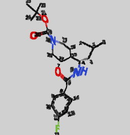 CC(C)C[C@H](NC(=O)c1ccc(F)cc1)C1CCN(C(=O)OC(C)(C)C)CC1